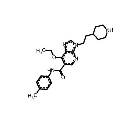 CCOc1c(C(=O)Nc2ccc(C)cc2)cnc2c1ncn2CCC1CCNCC1